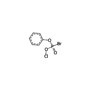 O=P(Br)(OCl)Oc1ccccc1